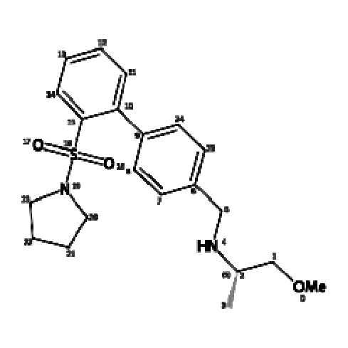 COC[C@H](C)NCc1ccc(-c2ccccc2S(=O)(=O)N2CCCC2)cc1